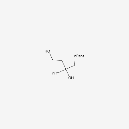 CCCCCCC(O)(CCC)CCO